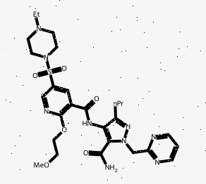 CCCc1nn(Cc2ncccn2)c(C(N)=O)c1NC(=O)c1cc(S(=O)(=O)N2CCN(CC)CC2)cnc1OCCOC